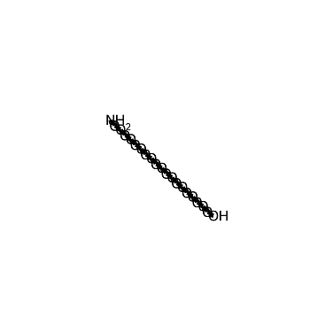 NCCOCCOCCOCCOCCOCCOCCOCCOCCOCCOCCOCCOCCOCCOCCOCCOCCOCCOCCOCCO